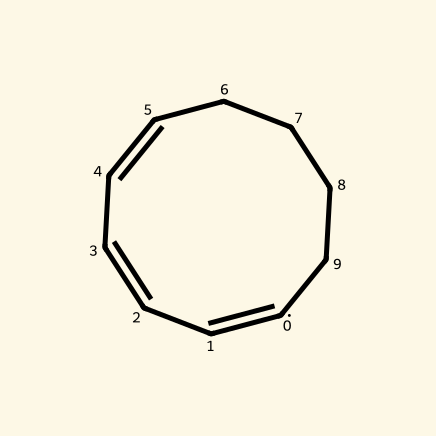 [C]1=C/C=C\C=C/CCCC\1